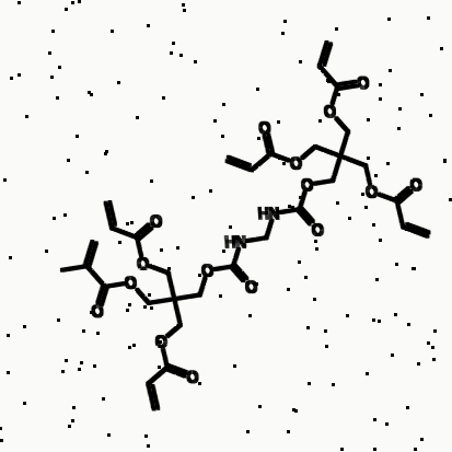 C=CC(=O)OCC(COC(=O)C=C)(COC(=O)C=C)COC(=O)NCNC(=O)OCC(COC(=O)C=C)(COC(=O)C=C)COC(=O)C(=C)C